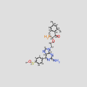 COSc1ccc(-c2nc(N)nc3c2ncn3CCOC(P)C(=O)c2c(C)cc(C)cc2C)cc1